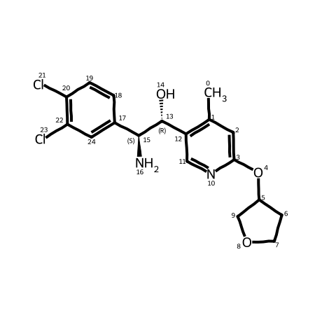 Cc1cc(OC2CCOC2)ncc1[C@@H](O)[C@@H](N)c1ccc(Cl)c(Cl)c1